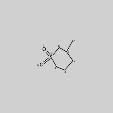 [CH2]C1CCCS(=O)(=O)C1